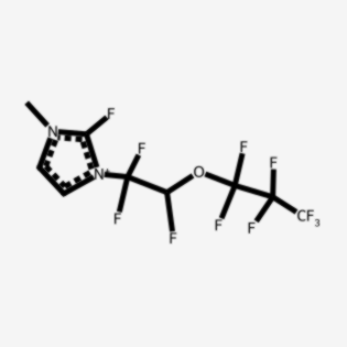 Cn1cc[n+](C(F)(F)C(F)OC(F)(F)C(F)(F)C(F)(F)F)c1F